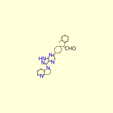 O=CC1c2ccccc2C[C@]12CC[C@H](c1cnc3c(N4CCCc5ncccc54)n[nH]c3n1)CC2